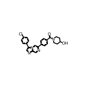 O=C(c1ccc(-c2cn3c(-c4ccc(Cl)cc4)cnc3cn2)cc1)N1CCC(O)CC1